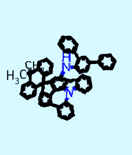 CC1(C)c2ccccc2C2(c3ccccc31)c1cccc3c1-c1c2cc(Nc2ccc(-c4ccccc4)cc2-c2ccccc2)c2c4ccccc4n(c12)-c1ccccc1-3